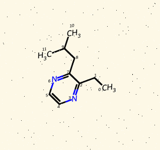 CCc1nccnc1CC(C)C